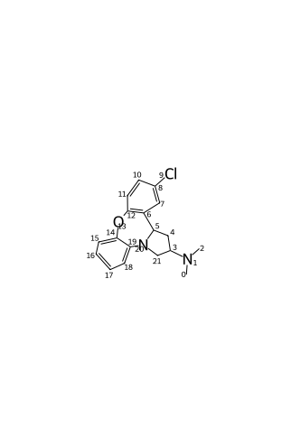 CN(C)C1CC2c3cc(Cl)ccc3Oc3ccccc3N2C1